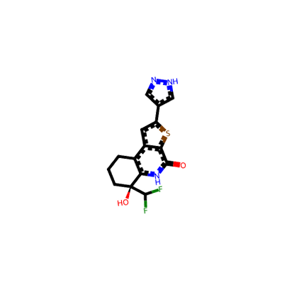 O=c1[nH]c2c(c3cc(-c4cn[nH]c4)sc13)CCC[C@@]2(O)C(F)F